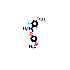 COc1ccc(OCC(N)c2c(F)cc(OC)cc2F)cc1